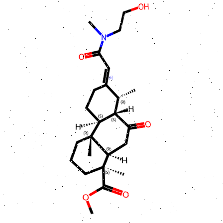 COC(=O)[C@@]1(C)CCC[C@@]2(C)[C@H]1CC(=O)[C@H]1[C@@H](C)/C(=C/C(=O)N(C)CCO)CC[C@@H]12